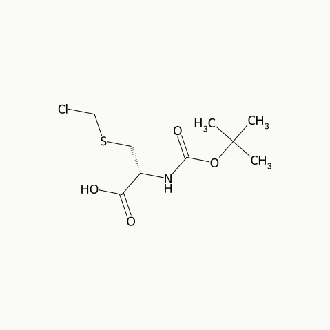 CC(C)(C)OC(=O)N[C@@H](CSCCl)C(=O)O